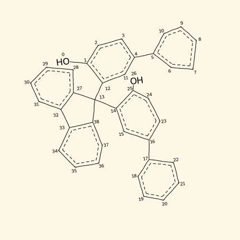 Oc1ccc(-c2ccccc2)cc1C1(c2cc(-c3ccccc3)ccc2O)c2ccccc2-c2ccccc21